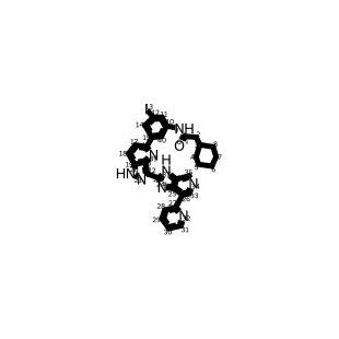 O=C(CC1CCCCC1)Nc1cc(I)cc(-c2ccc3[nH]nc(-c4nc5c(-c6ccccn6)cncc5[nH]4)c3n2)c1